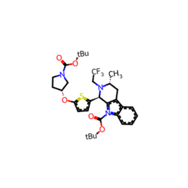 C[C@@H]1Cc2c(n(C(=O)OC(C)(C)C)c3ccccc23)[C@@H](c2ccc(O[C@@H]3CCN(C(=O)OC(C)(C)C)C3)s2)N1CC(F)(F)F